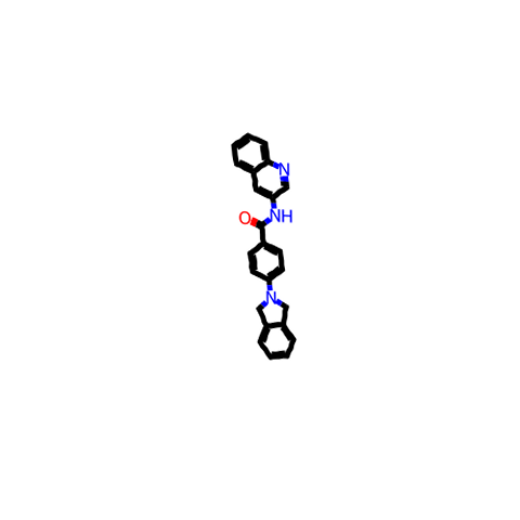 O=C(Nc1cnc2ccccc2c1)c1ccc(N2Cc3ccccc3C2)cc1